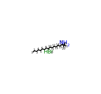 Br.CCCCCCCCCCCCCCCC(N)C(C)(C)C